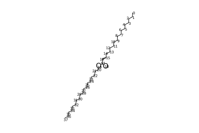 CCCCCCCCCCCCCCCC=CC(=O)OCCCCCCCCCCCCCCCCCC